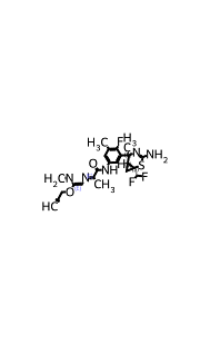 C#CCO/C(=C/N=C(\C)C(=O)Nc1cc(C)c(F)c([C@@]2(C)N=C(N)S[C@@]3(C(F)F)C[C@@H]23)c1)N=C